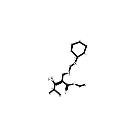 CCSC(=O)/C(COCSC1CCCCC1)=C(/O)C(C)C